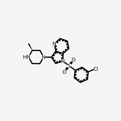 C[C@H]1CN(c2cn(S(=O)(=O)c3cccc(Cl)c3)c3cccnc23)CCN1